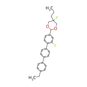 CCCC1(F)COC(c2ccc(-c3ccc(-c4ccc(CC)cc4)cc3)c(F)c2)OC1